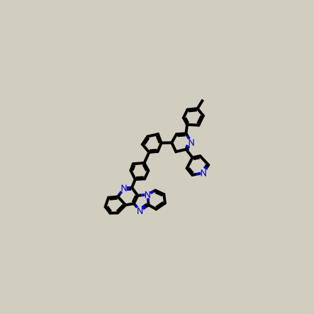 Cc1ccc(C2=CC(c3cccc(-c4ccc(-c5nc6ccccc6c6nc7ccccn7c56)cc4)c3)CC(c3ccncc3)=N2)cc1